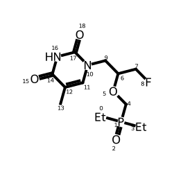 CCP(=O)(CC)COC(CF)Cn1cc(C)c(=O)[nH]c1=O